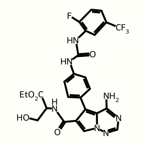 CCOC(=O)C(CO)NC(=O)c1cn2ncnc(N)c2c1-c1ccc(NC(=O)Nc2cc(C(F)(F)F)ccc2F)cc1